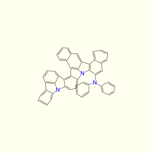 c1ccc(N(c2ccccc2)c2cc3ccccc3c3c4cc5ccccc5c5c6c7c8cccc9c%10ccccc%10n(c7ccc6n(c23)c45)c98)cc1